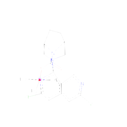 CC(C)(C)OC(=O)N1C2CCC1CN(c1nc(Cl)cc3cc(Cl)ncc13)C2